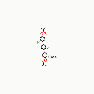 C=C(C)C(=O)Oc1ccc(-c2ccc(-c3ccc(OC(=O)C(=C)C)c(OC)c3)c(F)c2)c(F)c1